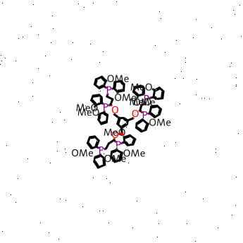 COc1ccccc1P(CCC(OCc1cc(COC(CCP(c2ccccc2OC)c2ccccc2OC)P(c2ccccc2OC)c2ccccc2OC)cc(COC(CCP(c2ccccc2OC)c2ccccc2OC)P(c2ccccc2OC)c2ccccc2OC)c1)P(c1ccccc1OC)c1ccccc1OC)c1ccccc1OC